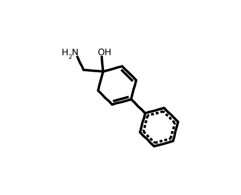 NCC1(O)C=CC(c2ccccc2)=CC1